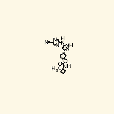 CC1(NC(=O)O[C@@H]2CC[C@H](c3cc(Nc4cnc(C#N)cn4)[nH]n3)C2)CCC1